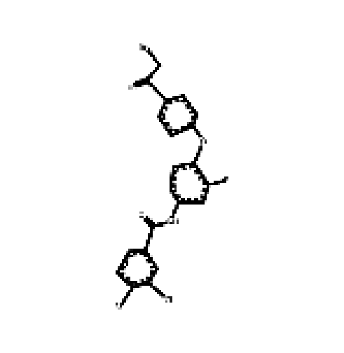 O=C(CBr)c1ccc(Oc2ccc(NC(=O)c3ccc(Cl)c(Cl)c3)cc2F)cc1